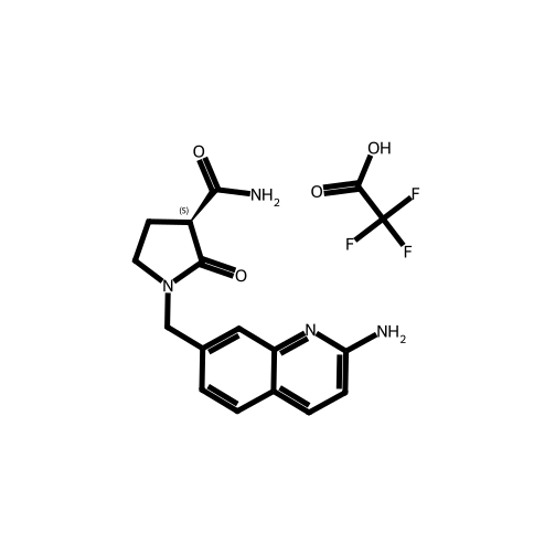 NC(=O)[C@@H]1CCN(Cc2ccc3ccc(N)nc3c2)C1=O.O=C(O)C(F)(F)F